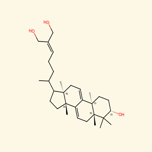 CC(CCC=C(CO)CO)C1CC[C@@]2(C)C3=CC[C@@]4(C)C(C)(C)[C@@H](O)CC[C@]4(C)C3=CC[C@]12C